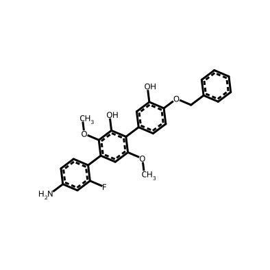 COc1cc(-c2ccc(N)cc2F)c(OC)c(O)c1-c1ccc(OCc2ccccc2)c(O)c1